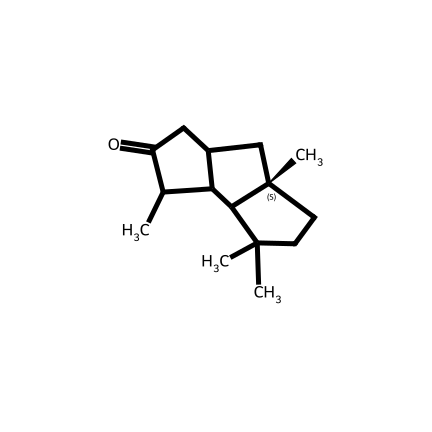 CC1C(=O)CC2C[C@]3(C)CCC(C)(C)C3C21